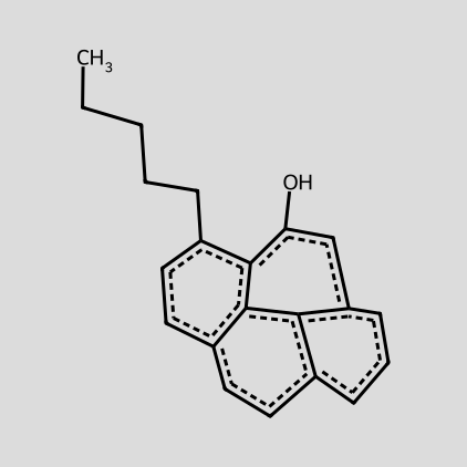 CCCCCc1ccc2ccc3cccc4cc(O)c1c2c34